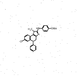 COc1ccc(Nc2nc3c(n2C)-c2ccc(Cl)cc2N(c2ccccc2)C3)cc1